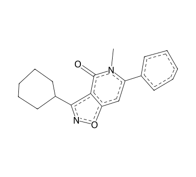 Cn1c(-c2ccccc2)cc2onc(C3CCCCC3)c2c1=O